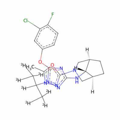 [2H]C([2H])([2H])C([2H])(n1nc(N[C@@H]2[C@@H]3CC[C@H]2CN(c2nnc(C)o2)C3)nc1Oc1ccc(F)c(Cl)c1)C([2H])([2H])[2H]